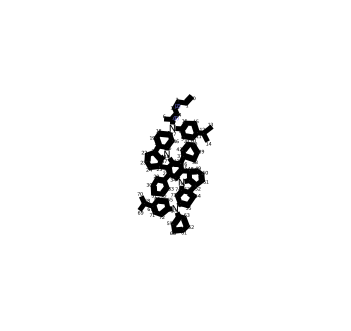 C=C/C=C\C=C(/C)N(c1ccc(C(C)C)cc1)c1ccc2c3cccc4c5c(-c6ccccc6)c6c(c(-c7ccccc7)c5n(c2c1)c34)c1cccc2c3ccc(N(c4ccccc4)c4ccc(C(C)C)cc4)cc3n6c21